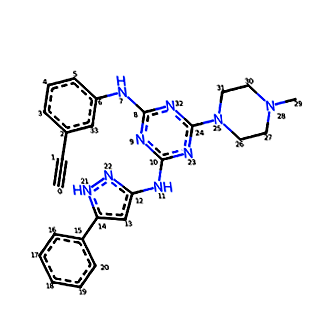 C#Cc1cccc(Nc2nc(Nc3cc(-c4ccccc4)[nH]n3)nc(N3CCN(C)CC3)n2)c1